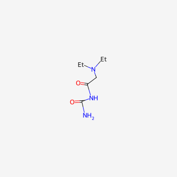 CCN(CC)CC(=O)NC(N)=O